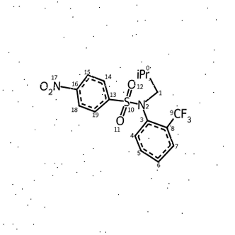 CC(C)CN(c1ccccc1C(F)(F)F)S(=O)(=O)c1ccc([N+](=O)[O-])cc1